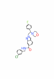 O=C(NCc1cccc(Cl)c1)c1ccc2cn(CC(c3ccc(F)cc3)N3CCOCC3)nc2c1